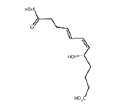 CCCCCCCCC(=O)CC/C=C/C=C\[C@@H](O)CCCC(=O)O